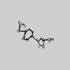 CSc1ccc(C2C=C(O)OC2)cc1